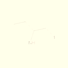 CCC(N)CI